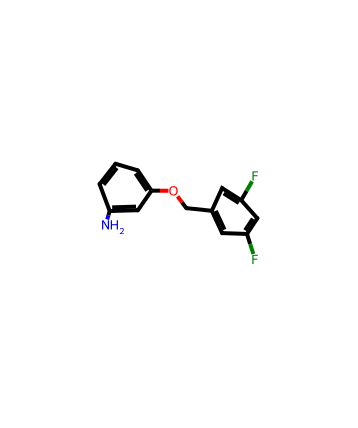 Nc1cccc(OCc2cc(F)cc(F)c2)c1